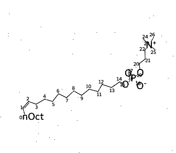 CCCCCCCC/C=C\CCCCCCCCCCCCOP(=O)([O-])OCCC[N+](C)(C)C